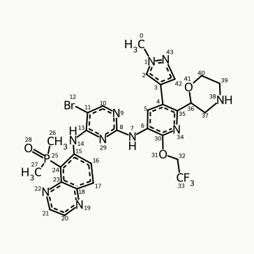 Cn1cc(-c2cc(Nc3ncc(Br)c(Nc4ccc5nccnc5c4P(C)(C)=O)n3)c(OCC(F)(F)F)nc2C2CNCCO2)cn1